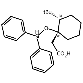 CC(C)(C)[C@@H]1CCCC[C@]1(CC(=O)O)O[SiH](c1ccccc1)c1ccccc1